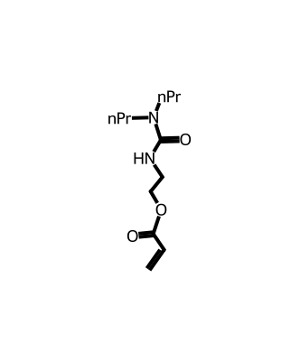 C=CC(=O)OCCNC(=O)N(CCC)CCC